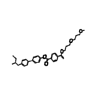 C=C(OCCCOCCCOC)c1ccc(C(=O)Oc2ccc(-c3ccc(CC(C)CC)cc3)cc2)cc1